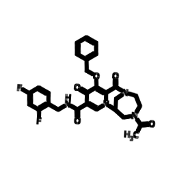 CC(=O)N1CCN2CC(C1)n1cc(C(=O)NCc3ccc(F)cc3F)c(=O)c(OCc3ccccc3)c1C2=O